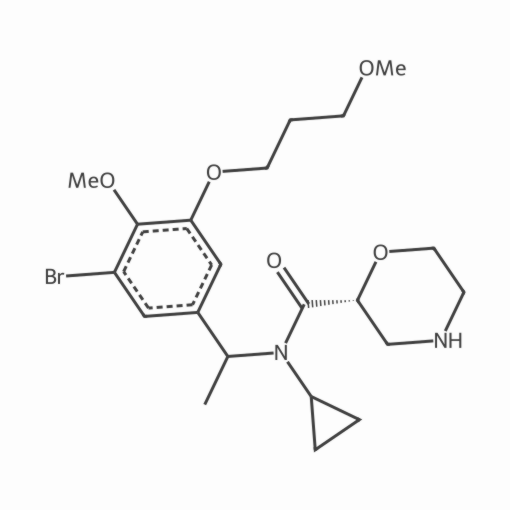 COCCCOc1cc(C(C)N(C(=O)[C@H]2CNCCO2)C2CC2)cc(Br)c1OC